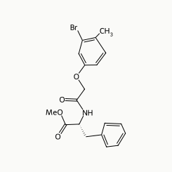 COC(=O)[C@@H](Cc1ccccc1)NC(=O)COc1ccc(C)c(Br)c1